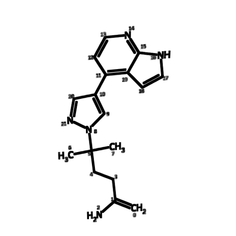 C=C(N)CCC(C)(C)n1cc(-c2ccnc3[nH]ccc23)cn1